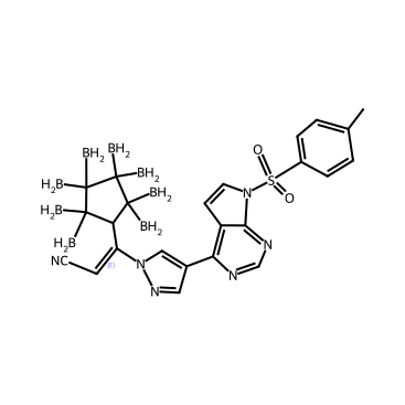 BC1(B)C(/C(=C\C#N)n2cc(-c3ncnc4c3ccn4S(=O)(=O)c3ccc(C)cc3)cn2)C(B)(B)C(B)(B)C1(B)B